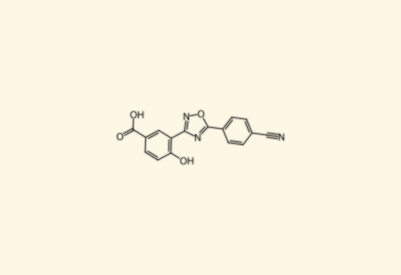 N#Cc1ccc(-c2nc(-c3cc(C(=O)O)ccc3O)no2)cc1